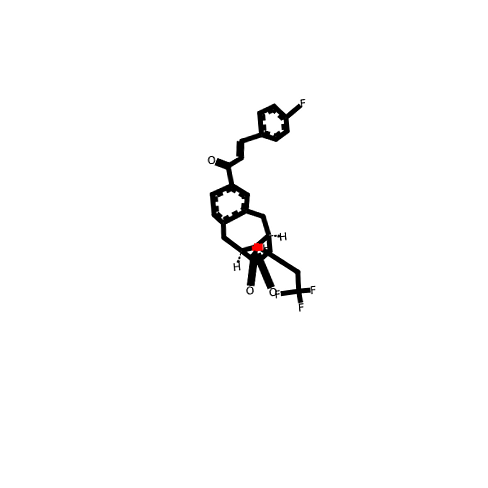 O=C(/C=C/c1ccc(F)cc1)c1ccc2c(c1)C[C@H]1CC[C@@H](C2)[C@]12CN(CC(F)(F)F)S(=O)(=O)N2